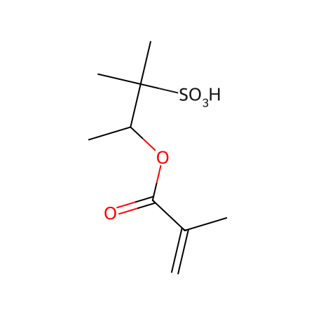 C=C(C)C(=O)OC(C)C(C)(C)S(=O)(=O)O